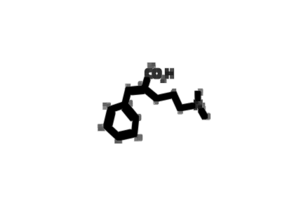 CN(C)CCCC(=Cc1ccccc1)C(=O)O